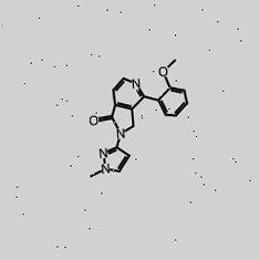 COc1ccccc1-c1nccc2c1CN(c1ccn(C)n1)C2=O